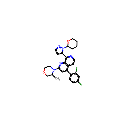 CC1COCCN1c1cc(-c2ccc(F)cc2F)c2ccnc(-c3ccnn3C3CCCCO3)c2n1